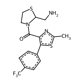 Cc1nc(C(=O)N2CCSC2CN)c(-c2ccc(C(F)(F)F)cc2)s1